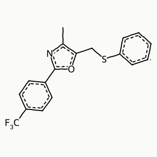 Cc1nc(-c2ccc(C(F)(F)F)cc2)oc1CSc1c[c]ccc1